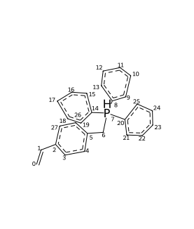 C=Cc1ccc(C[PH](c2ccccc2)(c2ccccc2)c2ccccc2)cc1